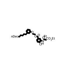 CCCCCCCCCCCCCCCc1cccc(OCCOC(=O)c2ccc(Cl)c(N/C(=C/C(=O)OCC)OCC)c2)c1